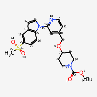 CC(C)(C)OC(=O)N1CCC(OCc2ccnc(-n3ccc4cc(S(C)(=O)=O)ccc43)c2)CC1